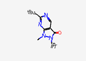 CC(C)n1c(=O)c2cnc(C(C)(C)C)nc2n1C